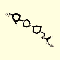 CC(C)(C)OC(=O)NC[C@H]1CC[C@H](N2CCN(c3ccc([N+](=O)[O-])cc3F)CC2)CC1